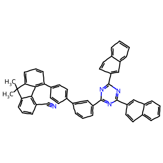 CC1(C)c2cccc(C#N)c2-c2c(-c3ccc(-c4cccc(-c5nc(-c6ccc7ccccc7c6)nc(-c6ccc7ccccc7c6)n5)c4)cc3)cccc21